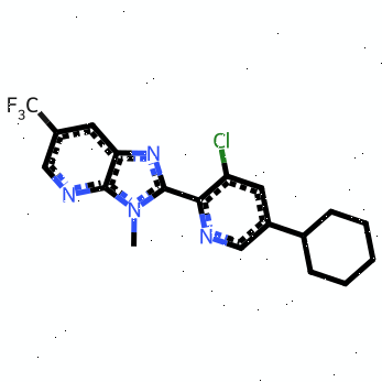 Cn1c(-c2ncc(C3CCCCC3)cc2Cl)nc2cc(C(F)(F)F)cnc21